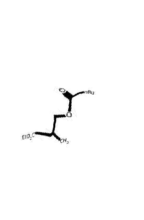 CCCCC(=O)OCC(C)C(=O)OCC